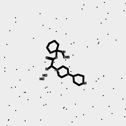 CCC(C(=O)OC1(NC=O)CCCCC1)N1CCN(C2CCNCC2)CC1.Cl.Cl